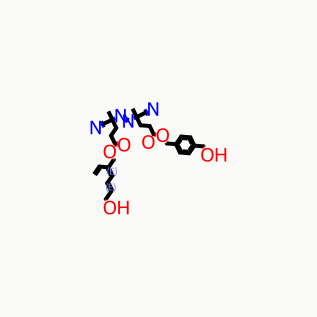 C=C/C(=C\C=C\CO)COC(=O)CCC(C)(C#N)N=NC(C)(C#N)CCC(=O)OCc1ccc(CO)cc1